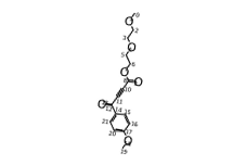 COCCOCCOC(=O)C#CC(=O)c1ccc(OC)cc1